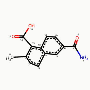 Cc1ccc2cc(C(N)=O)ccc2c1C(=O)O